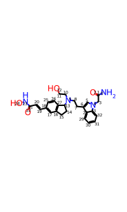 NC(=O)Cn1cc(CCN(CCO)C2CCc3cc(C=CC(=O)NO)ccc32)c2ccccc21